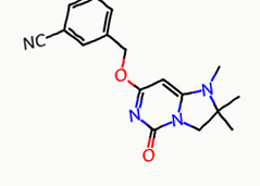 CN1c2cc(OCc3cccc(C#N)c3)nc(=O)n2CC1(C)C